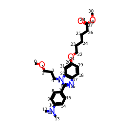 COCCCn1c(-c2ccc(N(C)C)cc2)nc2ccc(OCCCCCC(=O)OC)cc21